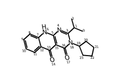 CC(C)c1nc2[nH]c3ccccc3c(=O)c2c(=O)n1C1CCCC1